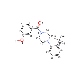 COc1cccc(C(=O)N2CCN(c3ccccc3C(C)(C)C)CC2)c1